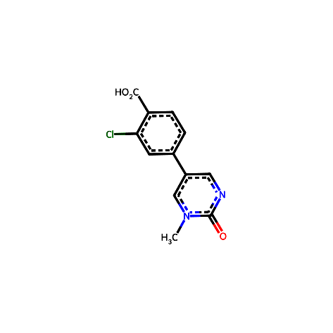 Cn1cc(-c2ccc(C(=O)O)c(Cl)c2)cnc1=O